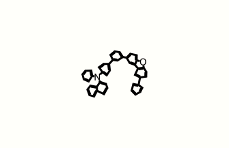 c1ccc(-c2ccc3oc4ccc(-c5cccc(-c6ccc(N(c7ccccc7)c7cccc8ccccc78)cc6)c5)cc4c3c2)cc1